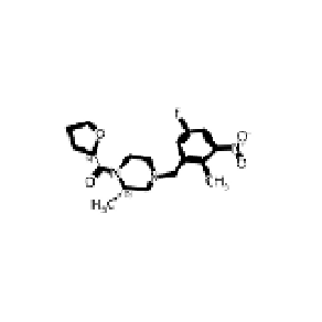 Cc1c(CN2CCN(C(=O)[C@@H]3CCCO3)[C@@H](C)C2)cc(F)cc1[N+](=O)[O-]